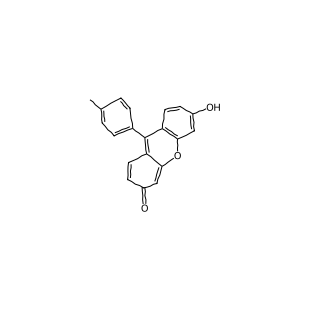 Cc1ccc(-c2c3ccc(=O)cc-3oc3cc(O)ccc23)cc1